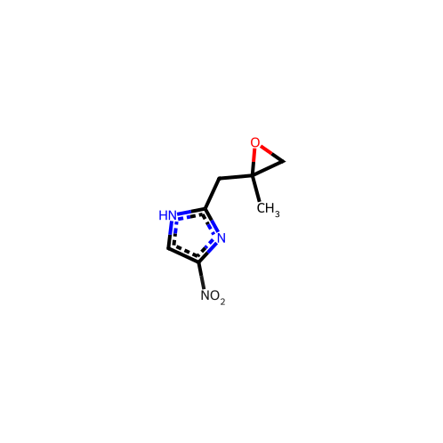 CC1(Cc2nc([N+](=O)[O-])c[nH]2)CO1